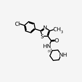 Cc1nc(-c2ccc(Cl)cc2)sc1C(=O)N[C@H]1CCCNC1